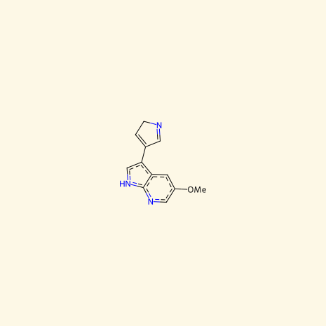 COc1cnc2[nH]cc(C3=CCN=C3)c2c1